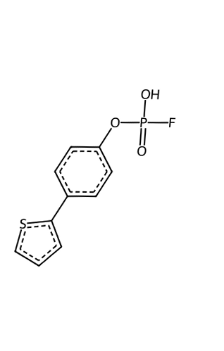 O=P(O)(F)Oc1ccc(-c2cccs2)cc1